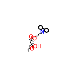 CCCCC(C)(CC(C)(C)C(=O)OCCCCn1c2ccccc2c2ccccc21)C(=O)O